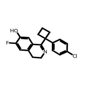 Oc1cc2c(cc1F)CCN=C2C1(c2ccc(Cl)cc2)CCC1